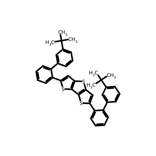 CC(C)(C)c1cccc(-c2ccccc2-c2cc3sc4cc(-c5ccccc5-c5cccc(C(C)(C)C)c5)sc4c3s2)c1